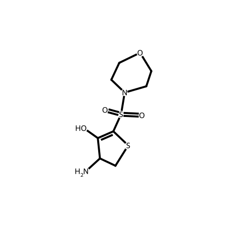 NC1CSC(S(=O)(=O)N2CCOCC2)=C1O